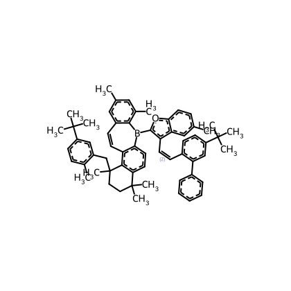 Cc1cc(C)c2c(c1)C=Cc1c(ccc3c1C(C)(Cc1cc(C(C)(C)C)ccc1C)CCC3(C)C)B2c1oc2ccc(C)cc2c1/C=C\c1ccc(C(C)(C)C)cc1-c1ccccc1